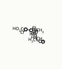 CN(C[C@H](O)CNC(C)(C)CC1Cc2ccccc2C1)S(=O)(=O)c1c(Cl)cc(-c2ccc(C(=O)O)c(Cl)c2)cc1Cl